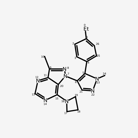 CCc1ccc(-c2c(-n3nc(C)c4ncnc(N5CCC5)c43)cnn2C)cc1